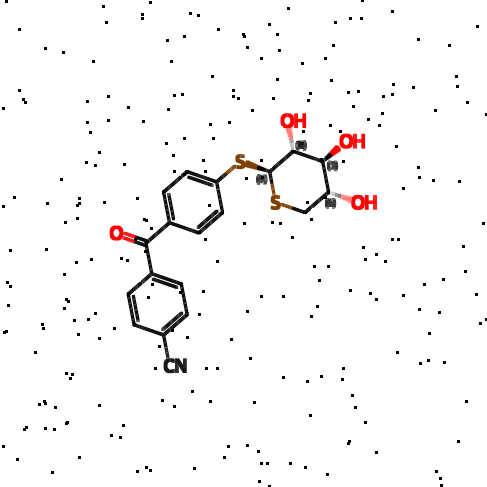 N#Cc1ccc(C(=O)c2ccc(S[C@@H]3SC[C@@H](O)[C@H](O)[C@H]3O)cc2)cc1